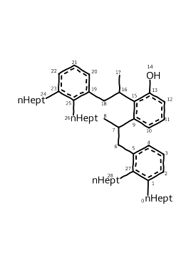 CCCCCCCc1cccc(CC(C)c2cccc(O)c2C(C)Cc2cccc(CCCCCCC)c2CCCCCCC)c1CCCCCCC